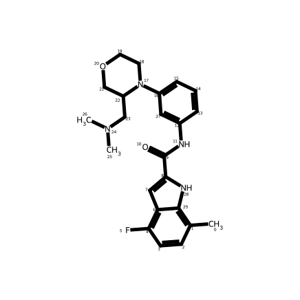 Cc1ccc(F)c2cc(C(=O)Nc3cccc(N4CCOCC4CN(C)C)c3)[nH]c12